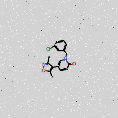 Cc1noc(C)c1-c1ccc(=O)n(Cc2cccc(Cl)c2)c1